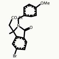 CCOC(=O)CC1(C)c2cc(Br)ccc2C(=O)N1Cc1ccc(OC)cc1